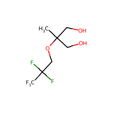 CC(CO)(CO)OCC(F)(F)C(F)(F)F